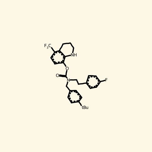 CC(C)(C)c1ccc(CN(CCc2ccc(F)cc2)C(=O)Oc2ccc(C(F)(F)F)c3c2NCCC3)cc1